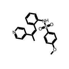 COc1ccc(S(=O)(=O)Nc2ccccc2C=C(C)c2ccncc2)cc1